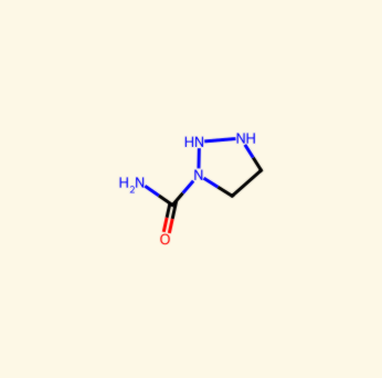 NC(=O)N1CCNN1